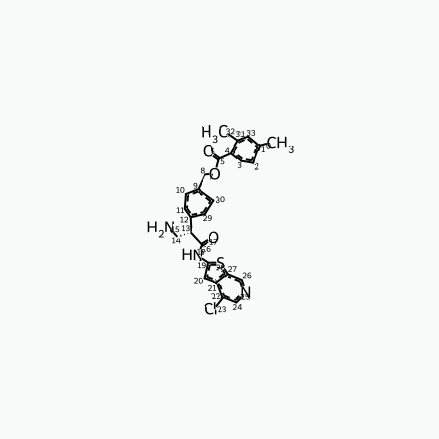 Cc1ccc(C(=O)OCc2ccc([C@@H](CN)C(=O)Nc3cc4c(Cl)cncc4s3)cc2)c(C)c1